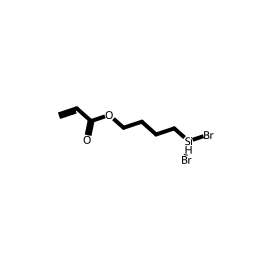 C=CC(=O)OCCCC[SiH](Br)Br